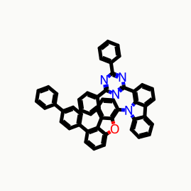 c1ccc(-c2ccc(-c3cccc4oc5c(-n6c7ccccc7c7cccc(-c8nc(-c9ccccc9)nc(-c9ccccc9)n8)c76)cccc5c34)cc2)cc1